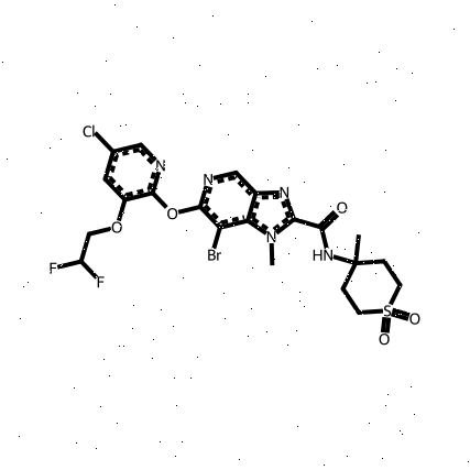 Cn1c(C(=O)NC2(C)CCS(=O)(=O)CC2)nc2cnc(Oc3ncc(Cl)cc3OCC(F)F)c(Br)c21